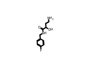 NCCC(O)C(=O)NCc1ccc(F)cc1